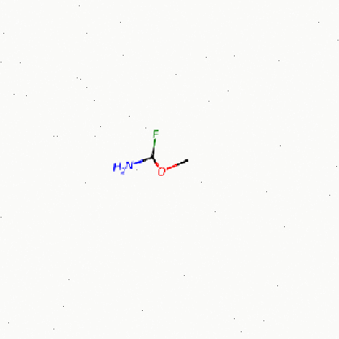 COC(N)F